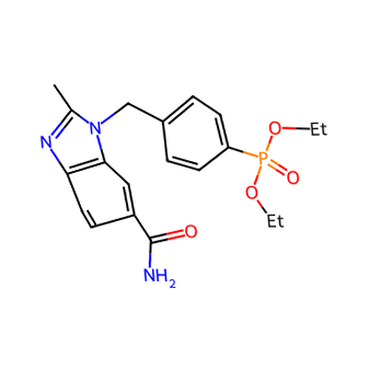 CCOP(=O)(OCC)c1ccc(Cn2c(C)nc3ccc(C(N)=O)cc32)cc1